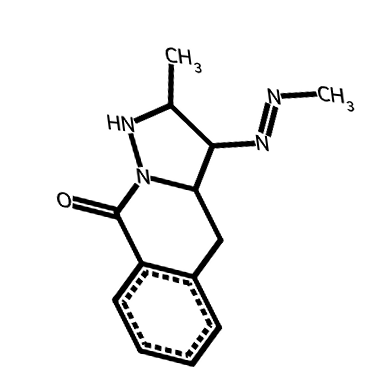 C/N=N/C1C(C)NN2C(=O)c3ccccc3CC12